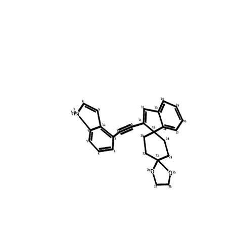 C(#Cc1cccc2[nH]ccc12)C1=Cc2ccccc2C12CCC1(CC2)OCCO1